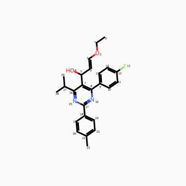 CCOC=CC(O)c1c(-c2ccc(F)cc2)nc(-c2ccc(C)cc2)nc1C(C)C